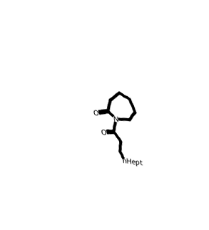 CCCCCCCCCC(=O)N1CCCCCC1=O